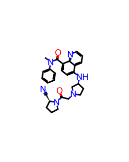 CN(C(=O)c1ccc(N[C@H]2CCN(CC(=O)N3CCC[C@H]3C#N)C2)c2cccnc12)c1ccccc1